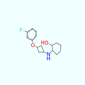 OC1CCCCC1NC1CC(Oc2cccc(F)c2)C1